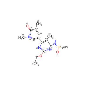 CCC[S+]([O-])NC1NC(OCC(F)(F)F)=NC(c2cc(C)c(=O)n(C)c2)=C1C